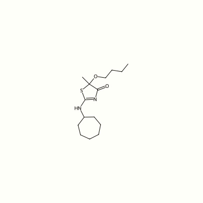 CCCCOC1(C)SC(NC2CCCCCC2)=NC1=O